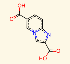 O=C(O)c1ccc2nc(C(=O)O)cn2c1